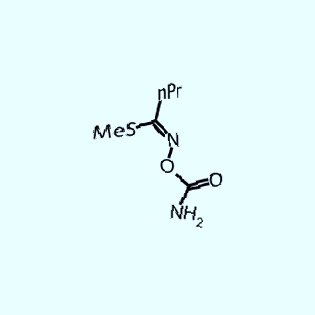 CCCC(=NOC(N)=O)SC